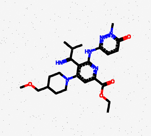 CCOC(=O)c1cc(N2CCC(COC)CC2)c(C(=N)C(C)C)c(Nc2ccc(=O)n(C)n2)n1